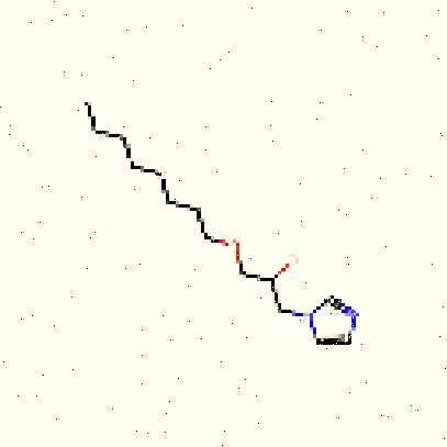 CCCCCCCCOCC(O)Cn1ccnc1